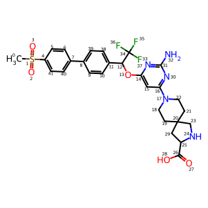 CS(=O)(=O)c1ccc(-c2ccc(C(Oc3cc(N4CCC5(CC4)CNC(C(=O)O)C5)nc(N)n3)C(F)(F)F)cc2)cc1